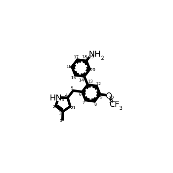 CC1=CNC(Cc2ccc(OC(F)(F)F)cc2-c2cccc(N)c2)C1